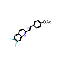 CC(=O)Oc1ccc(/C=C/c2ccc3cc(F)c(F)cc3n2)cc1